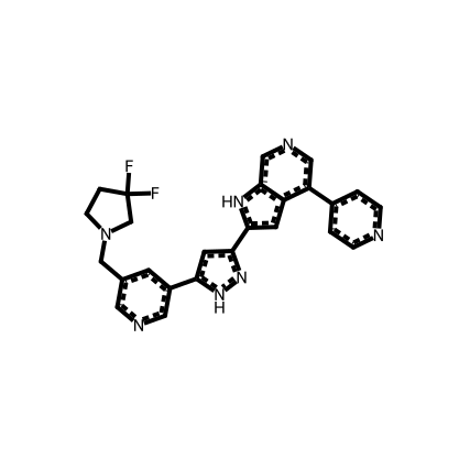 FC1(F)CCN(Cc2cncc(-c3cc(-c4cc5c(-c6ccncc6)cncc5[nH]4)n[nH]3)c2)C1